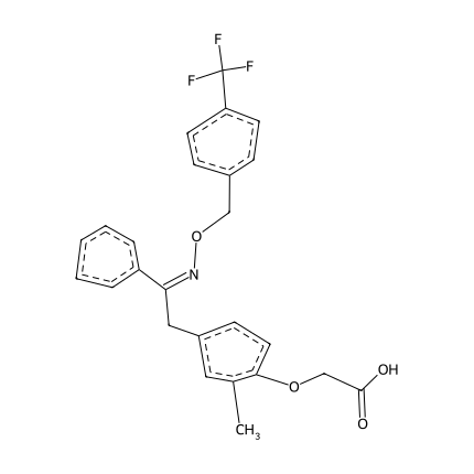 Cc1cc(CC(=NOCc2ccc(C(F)(F)F)cc2)c2ccccc2)ccc1OCC(=O)O